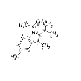 Cc1cnc2c(c1)c(C)c(C(C)C)n2C(C)C